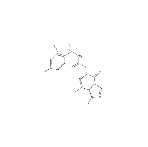 Cc1ccc([C@H](C)NC(=O)Cn2nc(C)c3c(cnn3C)c2=O)c(F)c1